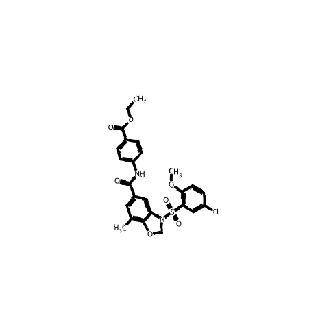 CCOC(=O)c1ccc(NC(=O)c2cc(C)c3c(c2)N(S(=O)(=O)c2cc(Cl)ccc2OC)CO3)cc1